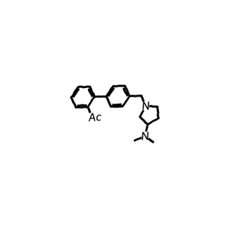 CC(=O)c1ccccc1-c1ccc(CN2CCC(N(C)C)C2)cc1